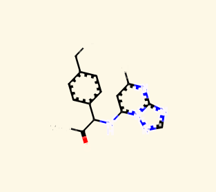 COC(=O)C(Nc1cc(C(F)(F)F)nc2ncnn12)c1ccc(CC(F)(F)F)cc1